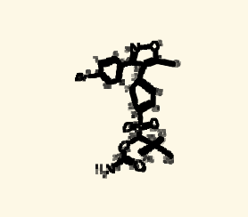 Cc1onc(-c2ccc(Br)cc2)c1-c1ccc(S(=O)(=O)C(OC(N)=O)C(C)(C)C)cc1